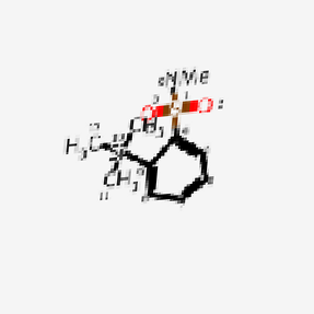 CNS(=O)(=O)c1ccccc1[Si](C)(C)C